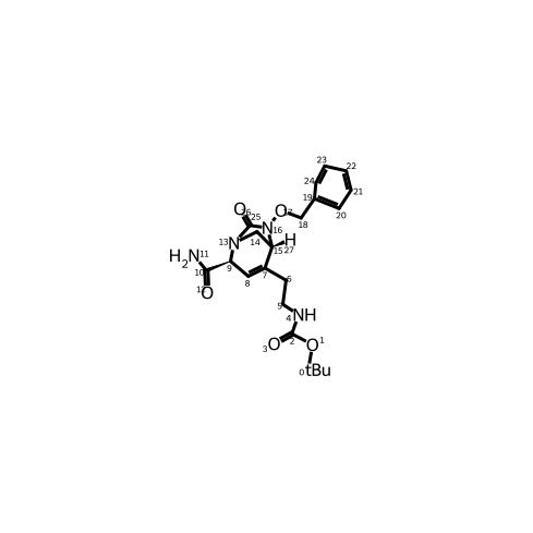 CC(C)(C)OC(=O)NCCC1=C[C@@H](C(N)=O)N2C[C@@H]1N(OCc1ccccc1)C2=O